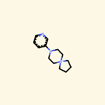 c1cncc(N2CC[N+]3(CCCC3)CC2)c1